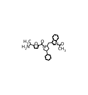 CC(=O)n1cc(CC2CC(c3ccccc3)CN2C(=O)c2ccc(C(C)N)o2)c2ccccc21